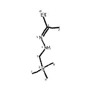 CC/C(C)=N/NC[Si](C)(C)C